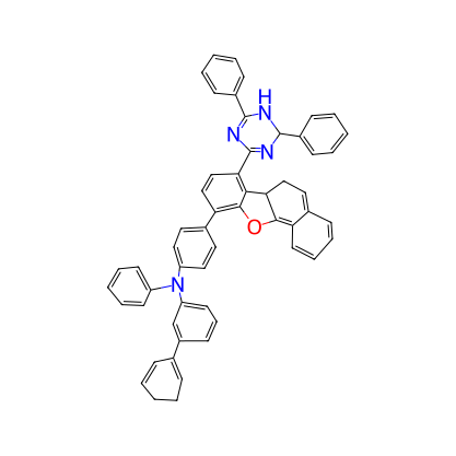 C1=CC(c2cccc(N(c3ccccc3)c3ccc(-c4ccc(C5=NC(c6ccccc6)NC(c6ccccc6)=N5)c5c4OC4=c6ccccc6=CCC45)cc3)c2)=CCC1